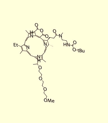 CCC1=C(C)c2cc3[nH]c(cc4nc(c5c6[nH]c(cc1n2)c(C)c6C(=O)OC5=O)[C@@H](CCC(=O)N(C)CCNC(=O)OC(C)(C)C)[C@@H]4C)c(C)c3C(C)OCCOCCOCCOC